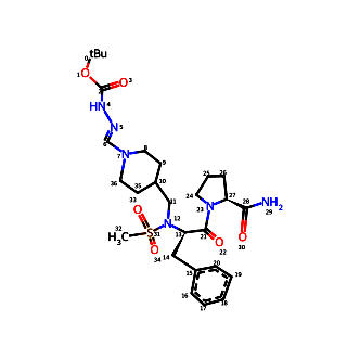 CC(C)(C)OC(=O)NN=CN1CCC(CN([C@H](Cc2ccccc2)C(=O)N2CCC[C@H]2C(N)=O)S(C)(=O)=O)CC1